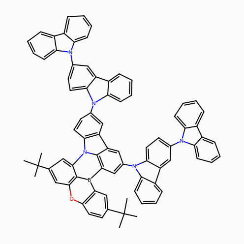 CC(C)(C)c1ccc2c(c1)B1c3c(cc(C(C)(C)C)cc3-n3c4ccc(-n5c6ccccc6c6cc(-n7c8ccccc8c8ccccc87)ccc65)cc4c4cc(-n5c6ccccc6c6cc(-n7c8ccccc8c8ccccc87)ccc65)cc1c43)O2